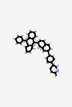 Cc1ccc(-c2ccc(-c3ccc4ccc(-c5c6ccccc6c(-c6ccccc6)c6ccccc56)cc4c3)cc2)cn1